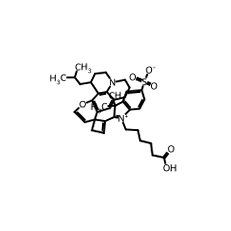 CC(C)CC1CCN2CCCc3cc4c(c1c32)OC=CC41CC=C1C1=[N+](CCCCCC(=O)O)c2ccc(S(=O)(=O)[O-])cc2C1(C)C